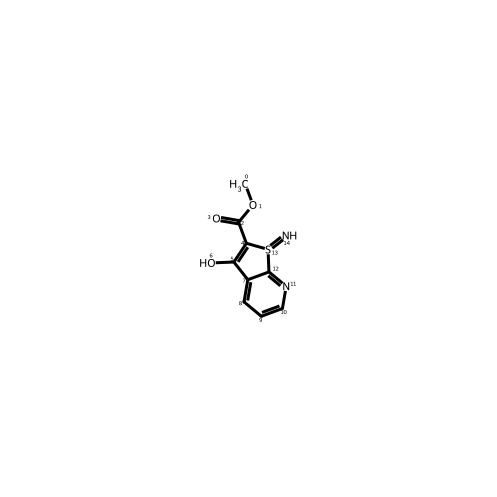 COC(=O)C1=C(O)c2cccnc2S1=N